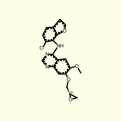 COc1cc2c(Nc3c(Cl)ccc4ccoc34)ncnc2cc1OC[C@H]1CO1